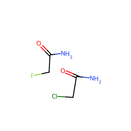 NC(=O)CCl.NC(=O)CF